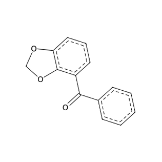 O=C(c1ccccc1)c1cccc2c1OCO2